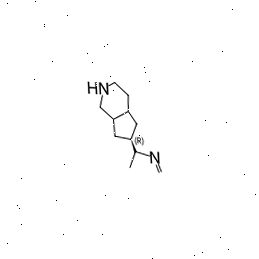 C=NC(C)[C@@H]1CC2CCNCC2C1